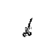 CCCCCCCCNC(=O)ON=C(c1ccccn1)c1ccccn1